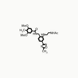 COc1cc(C(=O)NCc2ccc(-c3noc(C)n3)cc2NCCNC(C)=O)cc(OC)c1C